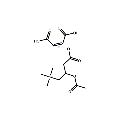 CC(=O)OC(CC(=O)[O-])C[N+](C)(C)C.O=C(O)/C=C\C(=O)O